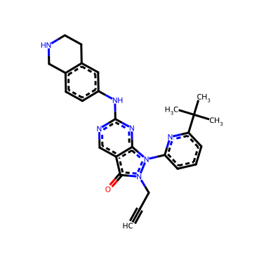 C#CCn1c(=O)c2cnc(Nc3ccc4c(c3)CCNC4)nc2n1-c1cccc(C(C)(C)C)n1